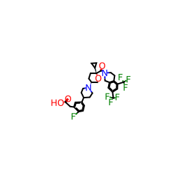 O=C(O)Cc1cc(C2CCN([C@@H]3CC[C@@](C(=O)N4CCc5c(cc(C(F)(F)F)cc5C(F)(F)F)C4)(C4CC4)OC3)CC2)ccc1F